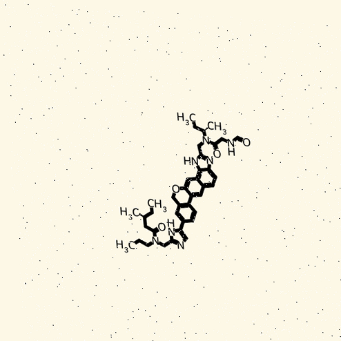 CCCN(Cc1ncc(-c2ccc3c(c2)COc2cc4c(ccc5nc(CN(C(=O)CNC=O)[C@@H](C)CC)[nH]c54)cc2-3)[nH]1)C(=O)C[C@@H](C)CC